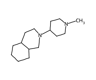 CN1CCC(N2CCC3CCCCC3C2)CC1